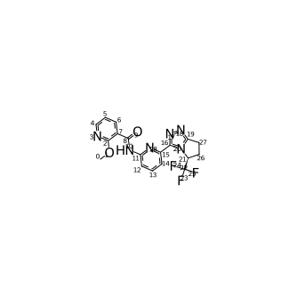 COc1ncccc1C(=O)Nc1cccc(-c2nnc3n2[C@H](C(F)(F)F)CC3)n1